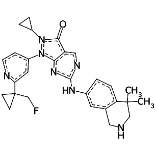 CC1(C)CNCc2cc(Nc3ncc4c(=O)n(C5CC5)n(-c5ccnc(C6(CF)CC6)c5)c4n3)ccc21